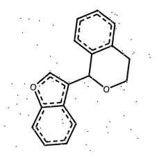 [c]1oc2ccccc2c1C1OCCc2ccccc21